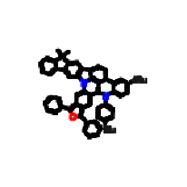 CC(C)(C)c1ccc(N2B3c4cc5c(-c6ccccc6)oc(-c6ccccc6)c5cc4-n4c5cc6c(cc5c5ccc(c3c54)-c3cc(C(C)(C)C)ccc32)C(C)(C)c2ccccc2-6)cc1